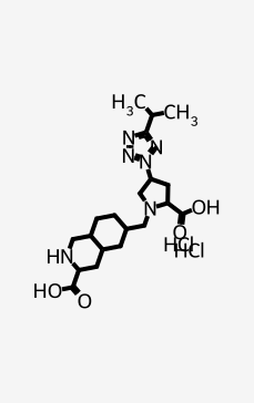 CC(C)c1nnn(C2CC(C(=O)O)N(CC3CCC4CNC(C(=O)O)CC4C3)C2)n1.Cl.Cl